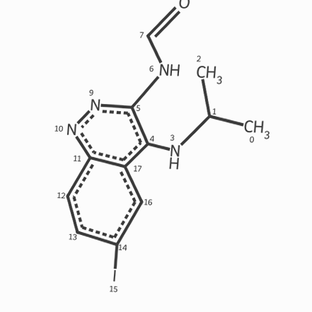 CC(C)Nc1c(NC=O)nnc2ccc(I)cc12